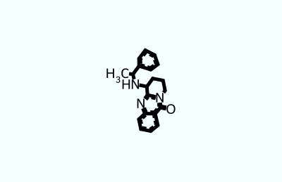 CC(NC1CCCn2c1nc1ccccc1c2=O)c1ccccc1